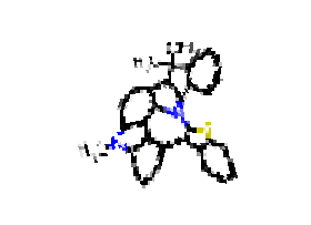 Cn1c2cccc3c2c2c1ccc1c4c(n(c5sc6ccccc6c35)c12)-c1ccccc1C4(C)C